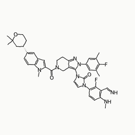 CNc1ccc(-n2ccn(-c3c4c(nn3-c3cc(C)c(F)c(C)c3)CCN(C(=O)c3cc5cc([C@H]6CCOC(C)(C)C6)ccc5n3C)C4)c2=O)c(F)c1C=N